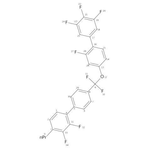 CCCc1ccc(-c2ccc(C(F)(F)Oc3ccc(-c4cc(F)c(F)c(F)c4)c(F)c3)cc2)c(F)c1F